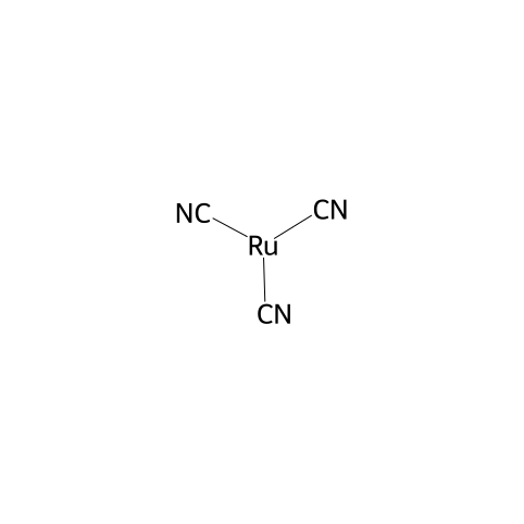 N#[C][Ru]([C]#N)[C]#N